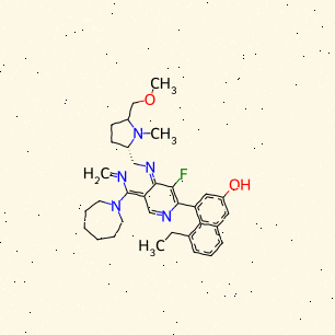 C=N/C(=C1/C=NC(c2cc(O)cc3cccc(CC)c23)=C(F)/C1=N/C[C@@H]1CCC(COC)N1C)N1CCCCCC1